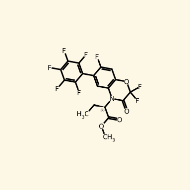 CC[C@H](C(=O)OC)N1C(=O)C(F)(F)Oc2cc(F)c(-c3c(F)c(F)c(F)c(F)c3F)cc21